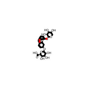 CN1CC[C@@]23C=C[C@H](O[C@@H]4O[C@H](C(=O)O)[C@@H](O)[C@H](O)[C@H]4O)C[C@@H]2Oc2c(O[C@@H]4OC[C@@H](O)[C@H](O)[C@H]4O)ccc(c23)C1